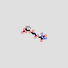 Cc1oc(=O)oc1COC(=O)/C=C/C(=O)OCC1NC(=O)NC1=O